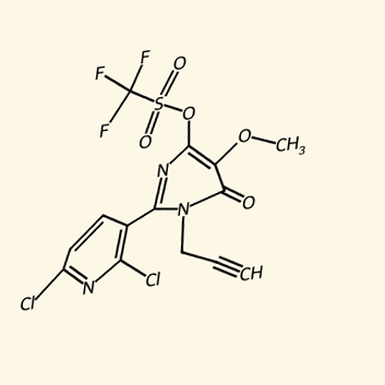 C#CCn1c(-c2ccc(Cl)nc2Cl)nc(OS(=O)(=O)C(F)(F)F)c(OC)c1=O